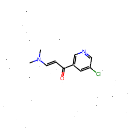 CN(C)C=CC(=O)c1cncc(Cl)c1